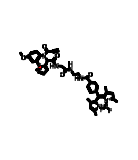 C#CC(=O)N(c1ccc(OC)cc1OC)C(C(=O)NCC(=O)NCCNC(=O)c1ccc(/C(=C2\C(C)=CC(C)=[N+]2B(F)F)c2[nH]c(C)cc2C)cc1)c1cccs1